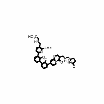 COc1nc(-c2cccc(-c3cccc(-c4ccn5c(=O)c(CNC[C@H]6CCC(=O)N6)cnc5c4)c3Cl)c2Cl)ccc1CNCC(=O)O